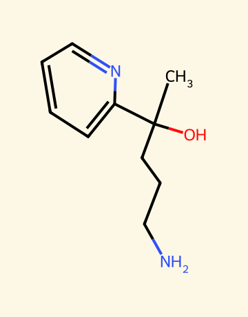 CC(O)(CCCN)c1ccccn1